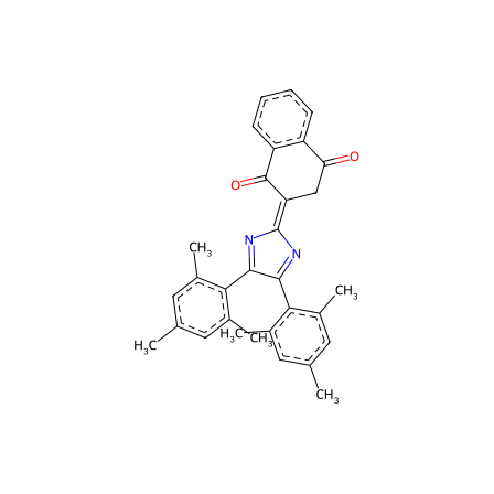 Cc1cc(C)c(C2=NC(=C3CC(=O)c4ccccc4C3=O)N=C2c2c(C)cc(C)cc2C)c(C)c1